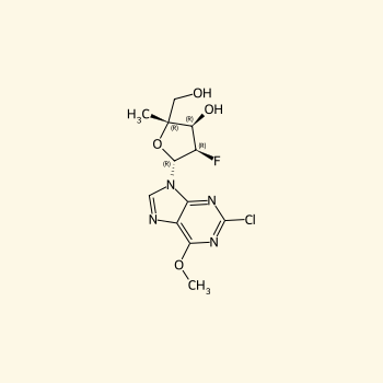 COc1nc(Cl)nc2c1ncn2[C@@H]1O[C@](C)(CO)[C@@H](O)[C@H]1F